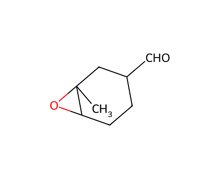 CC12CC(C=O)CCC1O2